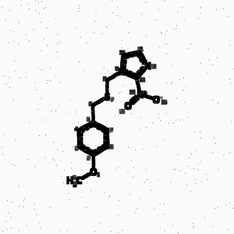 COc1ccc(CSCn2ccnc2[N+](=O)[O-])cc1